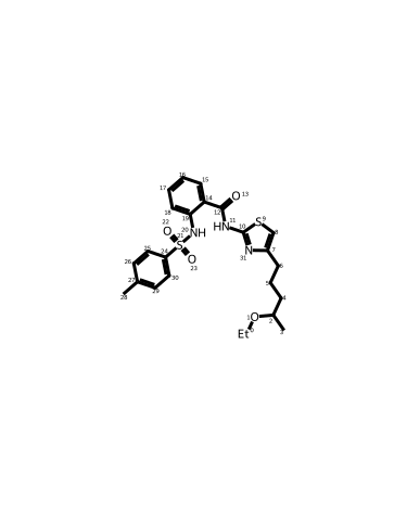 CCOC(C)CCCc1csc(NC(=O)c2ccccc2NS(=O)(=O)c2ccc(C)cc2)n1